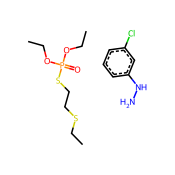 CCOP(=O)(OCC)SCCSCC.NNc1cccc(Cl)c1